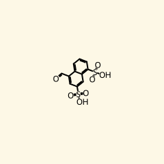 O=Cc1cc(S(=O)(=O)O)cc2c(S(=O)(=O)O)cccc12